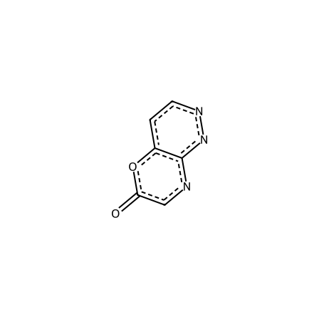 O=c1cnc2nnccc2o1